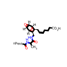 CCCCCC(=O)NC(C)C(=O)NC[C@@H]1[C@H](C/C=C\CCCC(=O)O)[C@H]2O[C@@H]1[C@H]1O[C@H]12